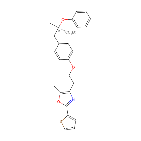 CCOC(=O)[C@@](C)(Cc1ccc(OCCc2nc(-c3cccs3)oc2C)cc1)Oc1ccccc1